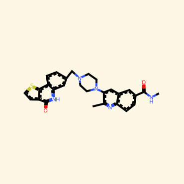 CNC(=O)c1ccc2nc(C)c(N3CCN(Cc4ccc5c(c4)[nH]c(=O)c4ccsc45)CC3)cc2c1